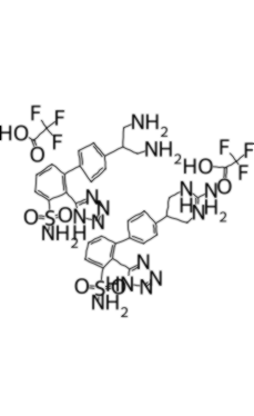 NC1=NCC(c2ccc(-c3cccc(S(N)(=O)=O)c3-c3nnn[nH]3)cc2)CN1.NCC(CN)c1ccc(-c2cccc(S(N)(=O)=O)c2-c2nnn[nH]2)cc1.O=C(O)C(F)(F)F.O=C(O)C(F)(F)F